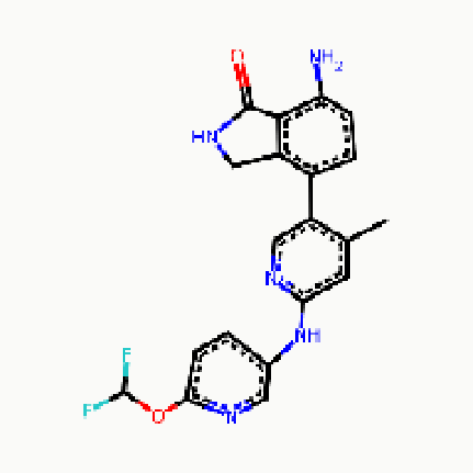 Cc1cc(Nc2ccc(OC(F)F)nc2)ncc1-c1ccc(N)c2c1CNC2=O